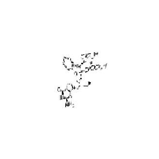 Nc1nc2c(ccn2CC(CF)OCP(=O)(NC(CC(=O)O)C(=O)O)Oc2ccccc2)c(=O)[nH]1